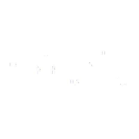 CCCNC(=O)Nc1cccc(-c2c(N)c3ccc(OC)cc3n2CC)c1